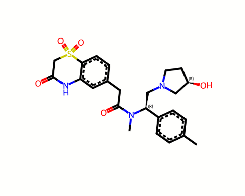 Cc1ccc([C@H](CN2CC[C@@H](O)C2)N(C)C(=O)Cc2ccc3c(c2)NC(=O)CS3(=O)=O)cc1